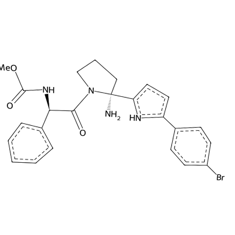 COC(=O)N[C@@H](C(=O)N1CCC[C@@]1(N)c1ccc(-c2ccc(Br)cc2)[nH]1)c1ccccc1